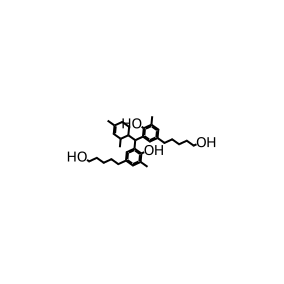 CC1=CC(C)C(C(c2cc(CCCCCO)cc(C)c2O)c2cc(CCCCCO)cc(C)c2O)CC1